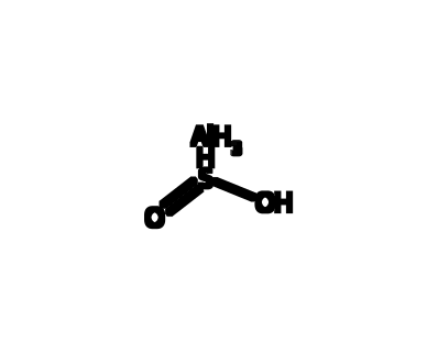 O=[SH]O.[AlH3]